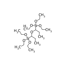 CCO[Si](OCC)(OCC)C(CC)OC(CC)[Si](OCC)(OCC)OCC